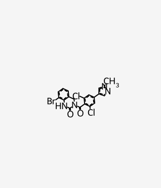 Cn1cc(-c2cc(Cl)c(C(=O)N3Cc4cccc(Br)c4NC3=O)c(Cl)c2)cn1